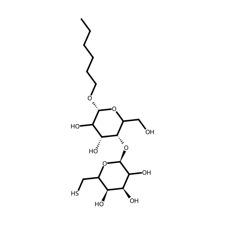 CCCCCCO[C@@H]1OC(CO)[C@H](O[C@@H]2OC(CS)[C@H](O)[C@H](O)C2O)[C@H](O)C1O